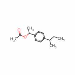 CCC(C)c1ccc(C(C)OC(C)=O)cc1